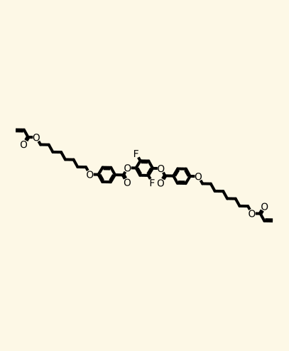 C=CC(=O)OCCCCCCCCOc1ccc(C(=O)Oc2cc(F)c(OC(=O)c3ccc(OCCCCCCCCOC(=O)C=C)cc3)cc2F)cc1